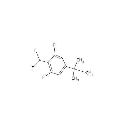 CC(C)(C)c1cc(F)c(C(F)F)c(F)c1